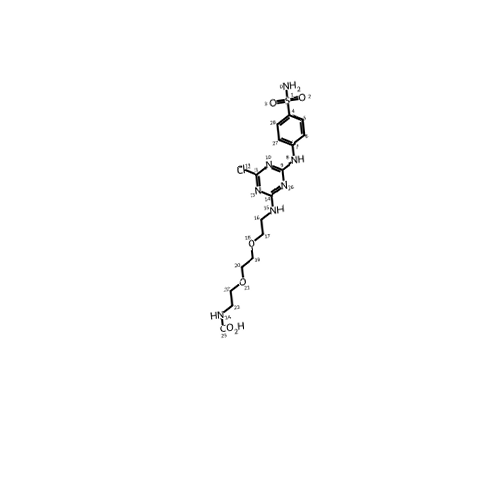 NS(=O)(=O)c1ccc(Nc2nc(Cl)nc(NCCOCCOCCNC(=O)O)n2)cc1